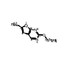 CCCCCOc1ncc2cc(CCCC)oc2n1